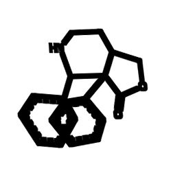 O=C1OCC2CCNC(c3ccccc3)C12c1ccccc1